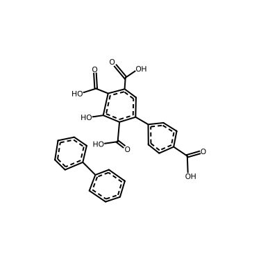 O=C(O)c1ccc(-c2cc(C(=O)O)c(C(=O)O)c(O)c2C(=O)O)cc1.c1ccc(-c2ccccc2)cc1